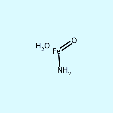 O.[NH2][Fe]=[O]